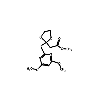 COC(=O)CC1(Sc2nc(OC)cc(OC)n2)OCCO1